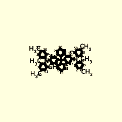 Cc1ccc(N(c2ccc(C(c3ccccc3)(c3ccccc3)c3ccc(N(c4ccc(C)cc4C)c4ccc(C)cc4C)cc3)cc2)c2ccc(C)cc2C)c(C)c1